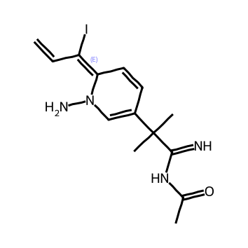 C=C/C(I)=C1/C=CC(C(C)(C)C(=N)NC(C)=O)=CN1N